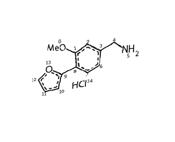 COc1cc(CN)ccc1-c1ccco1.Cl